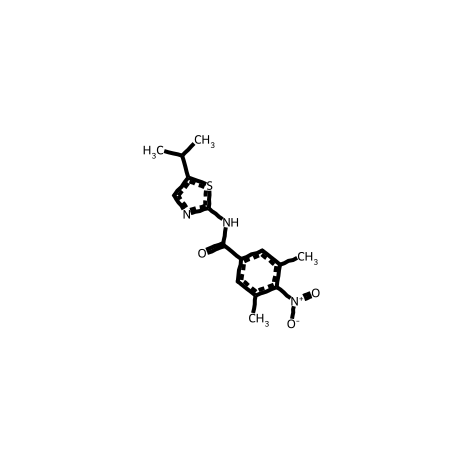 Cc1cc(C(=O)Nc2ncc(C(C)C)s2)cc(C)c1[N+](=O)[O-]